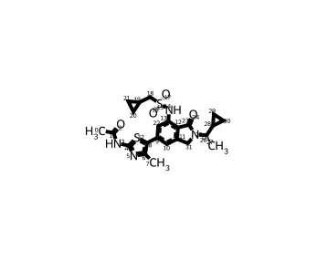 CC(=O)Nc1nc(C)c(-c2cc3c(c(NS(=O)(=O)CC4CC4)c2)C(=O)N([C@@H](C)C2CC2)C3)s1